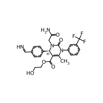 CC1=C(C(=O)OCCO)[C@@H](c2ccc(C=N)cc2)N(CC(N)=O)C(=O)N1c1cccc(C(F)(F)F)c1